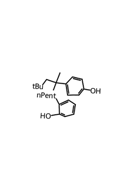 CC(C)(C)CC(C)(C)c1ccc(O)cc1.CCCCCc1ccccc1O